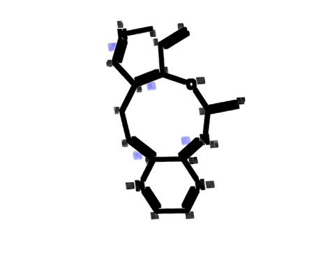 C=C/C1=C(\C=N/C)C/C=c2/nccn/c2=N/C(=C)O1